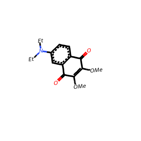 CCN(CC)c1ccc2c(c1)C(=O)C(OC)=C(OC)C2=O